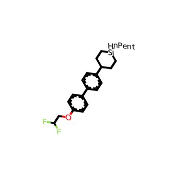 CCCCC[SiH]1CCC(c2ccc(-c3ccc(OCC(F)F)cc3)cc2)CC1